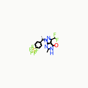 Cc1nc2c(c(C(F)F)nn2[C@@H](C)c2ccc(S(F)(F)(F)(F)F)cc2)c(=O)[nH]1